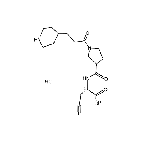 C#CC[C@H](NC(=O)C1CCN(C(=O)CCC2CCNCC2)C1)C(=O)O.Cl